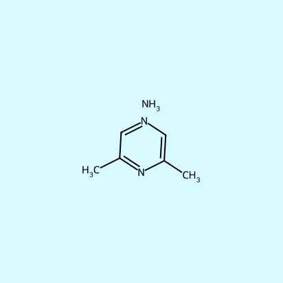 Cc1cncc(C)n1.N